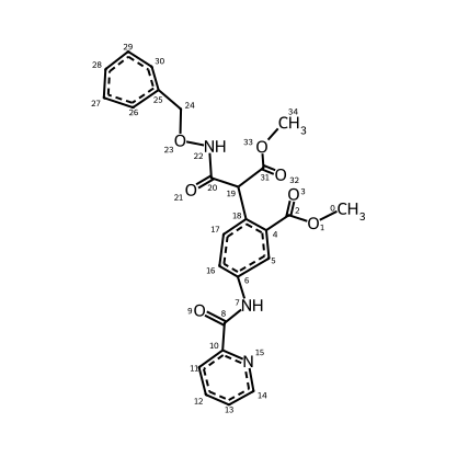 COC(=O)c1cc(NC(=O)c2ccccn2)ccc1C(C(=O)NOCc1ccccc1)C(=O)OC